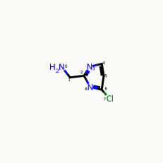 NCc1nccc(Cl)n1